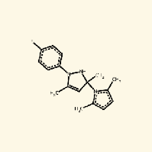 CC1=CC(C)(n2c(C)ccc2C)NN1c1ccc(F)cc1